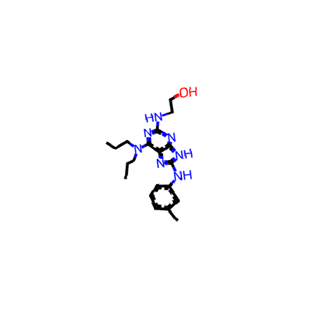 CCCN(CCC)c1nc(NCCO)nc2[nH]c(Nc3cccc(C)c3)nc12